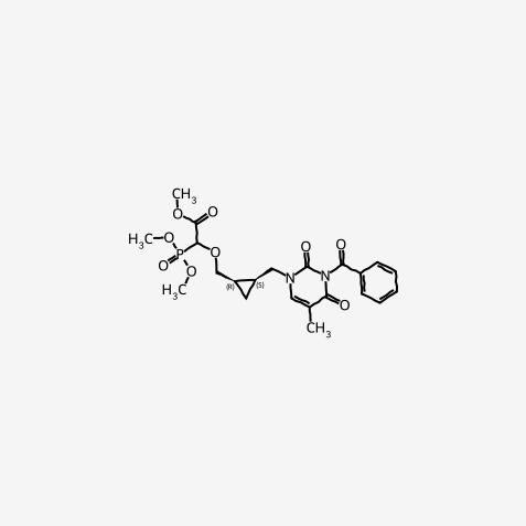 COC(=O)C(OC[C@@H]1C[C@@H]1Cn1cc(C)c(=O)n(C(=O)c2ccccc2)c1=O)P(=O)(OC)OC